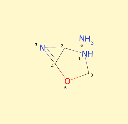 C1NC2N=C2O1.N